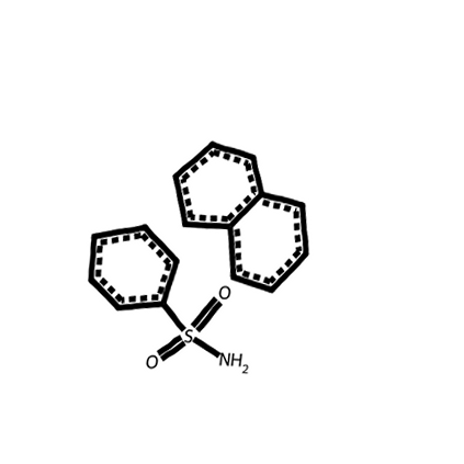 NS(=O)(=O)c1ccccc1.c1ccc2ccccc2c1